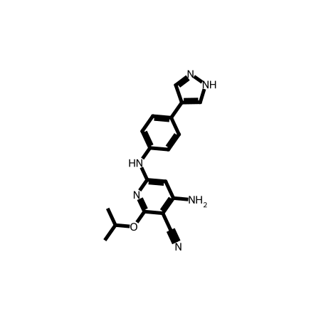 CC(C)Oc1nc(Nc2ccc(-c3cn[nH]c3)cc2)cc(N)c1C#N